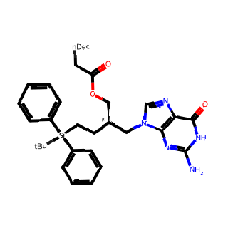 CCCCCCCCCCCC(=O)OC[C@H](CC[Si](c1ccccc1)(c1ccccc1)C(C)(C)C)Cn1cnc2c(=O)[nH]c(N)nc21